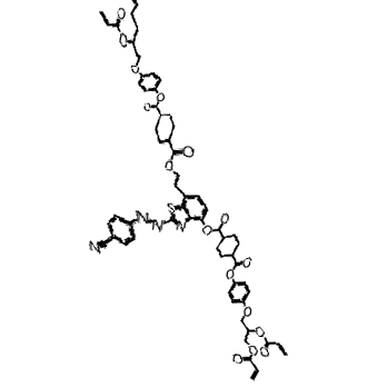 C=CCCC(COc1ccc(OC(=O)C2CCC(C(=O)OCCc3ccc(OC(=O)C4CCC(C(=O)Oc5ccc(OCC(COC(=O)C=C)OC(=O)C=C)cc5)CC4)c4nc(/N=N/c5ccc(C#N)cc5)sc34)CC2)cc1)OC(=O)C=C